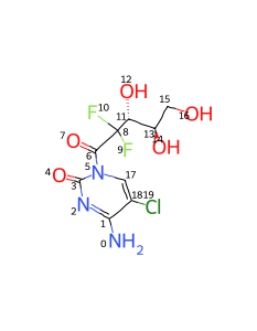 Nc1nc(=O)n(C(=O)C(F)(F)[C@H](O)[C@H](O)CO)cc1Cl